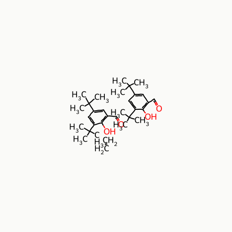 C=C.CC(C)(C)c1cc(C=O)c(O)c(C(C)(C)C)c1.CC(C)(C)c1cc(C=O)c(O)c(C(C)(C)C)c1